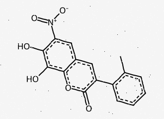 Cc1ccccc1-c1cc2cc([N+](=O)[O-])c(O)c(O)c2oc1=O